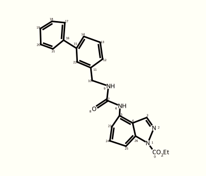 CCOC(=O)n1ncc2c(NC(=O)NCc3cccc(-c4ccccc4)c3)cccc21